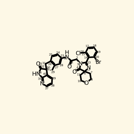 O=C(CN1C(=O)C2(CCOCC2)N=C1c1c(Cl)cccc1Br)Nc1ccc2c(c1)C[C@@]1(C2)C(=O)Nc2ncccc21